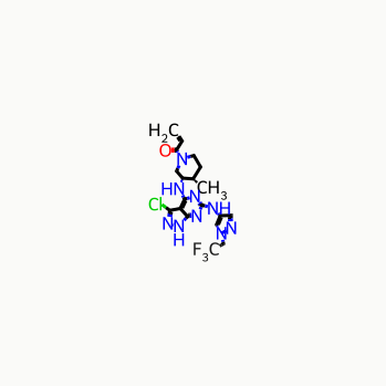 C=CC(=O)N1CC[C@@H](C)[C@@H](Nc2nc(Nc3cnn(CC(F)(F)F)c3)nc3[nH]nc(Cl)c23)C1